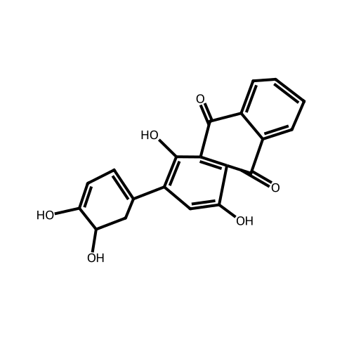 O=C1c2ccccc2C(=O)c2c(O)c(C3=CC=C(O)C(O)C3)cc(O)c21